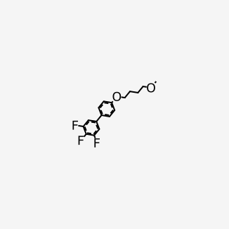 COCCCCOc1ccc(-c2cc(F)c(F)c(F)c2)cc1